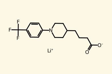 O=C([O-])CCCC1CCN(c2ccc(C(F)(F)F)cc2)CC1.[Li+]